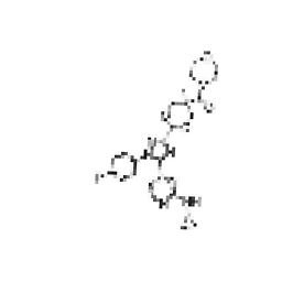 CC1(C(=O)N2CCOCC2)COC(c2nc(-c3ccnc(NC4CC4)n3)n(-c3ccc(F)cc3)n2)OC1